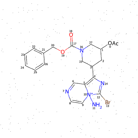 CC(=O)OC1CC(C2=C3C=NC=C[N+]3(N)C(Br)=N2)CN(C(=O)OCc2ccccc2)C1